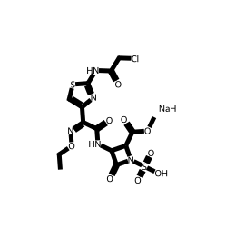 CCO/N=C(\C(=O)NC1C(=O)N(S(=O)(=O)O)C1C(=O)OC)c1csc(NC(=O)CCl)n1.[NaH]